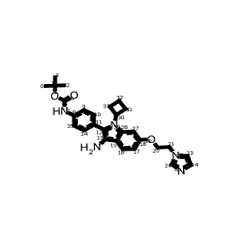 CC(C)(C)OC(=O)Nc1ccc(-c2c(N)c3ccc(OCCn4ccnc4)cc3n2C2CCC2)cc1